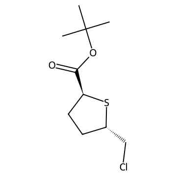 CC(C)(C)OC(=O)[C@@H]1CC[C@@H](CCl)S1